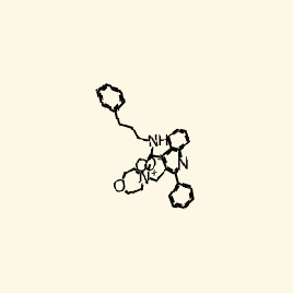 O=C(NCCCc1ccccc1)c1c(C[N+]2([O-])CCOCC2)c(-c2ccccc2)nc2ccccc12